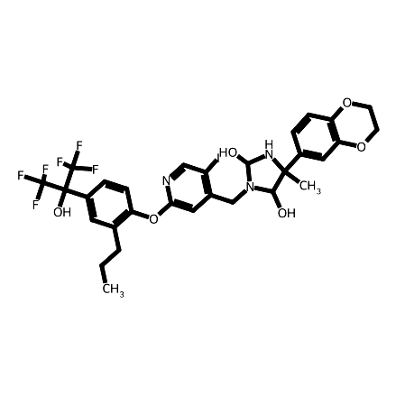 CCCc1cc(C(O)(C(F)(F)F)C(F)(F)F)ccc1Oc1cc(CN2C(O)NC(C)(c3ccc4c(c3)OCCO4)C2O)c(I)cn1